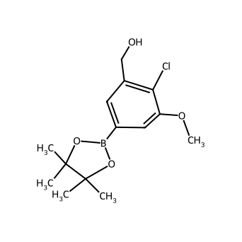 COc1cc(B2OC(C)(C)C(C)(C)O2)cc(CO)c1Cl